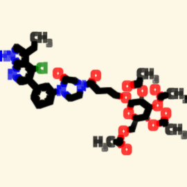 CCc1c[nH]c2ncc(-c3cccc(N4CCN(C(=O)CCCO[C@@H]5O[C@H](COC(C)=O)[C@@H](OC(C)=O)[C@H](OC(C)=O)[C@H]5OC(C)=O)CC4=O)c3)c(Cl)c12